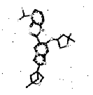 CC1(C)CC(Oc2cc3nc(C45COC(C)(C4)C5)cn3cc2C(=O)Nc2cccn(C(F)F)c2=O)CO1